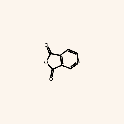 O=C1OC(=O)c2cpccc21